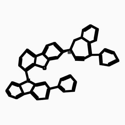 C1#C[C@@H](c2ccc3c(c2)oc2c(-n4c5ccccc5c5ccc(-c6ccccc6)cc54)cccc23)CC2C=CC=CC2=C1c1ccccc1